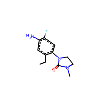 CCc1cc(N)c(F)cc1N1CCN(C)C1=O